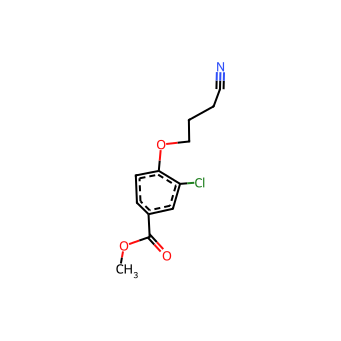 COC(=O)c1ccc(OCCCC#N)c(Cl)c1